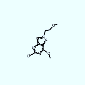 COCCn1cc2nc(Cl)nc(OC)c2n1